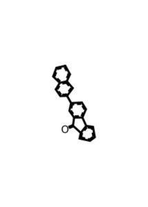 O=C1c2ccccc2-c2ccc(-c3ccc4ccccc4c3)cc21